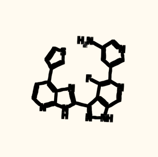 Nc1cncc(-c2ncc3[nH]nc(-c4nc5c(-c6ccsc6)ccnc5[nH]4)c3c2F)c1